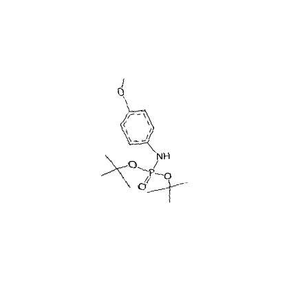 COc1ccc(NP(=O)(OC(C)(C)C)OC(C)(C)C)cc1